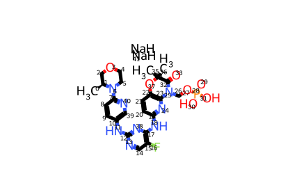 C[C@H]1COCCN1c1ccc(Nc2ncc(F)c(Nc3ccc4c(n3)N(COP(=O)(O)O)C(=O)C(C)(C)O4)n2)cn1.[NaH].[NaH]